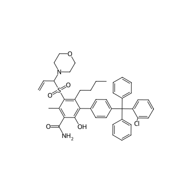 C=CC(N1CCOCC1)S(=O)(=O)c1c(C)c(C(N)=O)c(O)c(-c2ccc(C(c3ccccc3)(c3ccccc3)c3ccccc3Cl)cc2)c1CCCC